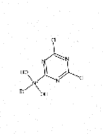 CC[N+](O)(O)c1nc(Cl)nc(Cl)n1